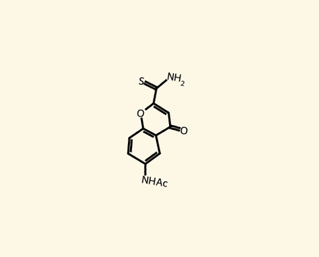 CC(=O)Nc1ccc2oc(C(N)=S)cc(=O)c2c1